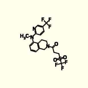 CN(c1ccc(C(F)(F)F)cn1)c1cccc2c1CCN(C(=O)CCS(=O)(=O)C(F)(F)F)C2